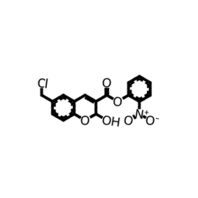 O=C(Oc1ccccc1[N+](=O)[O-])C1=Cc2cc(CCl)ccc2OC1O